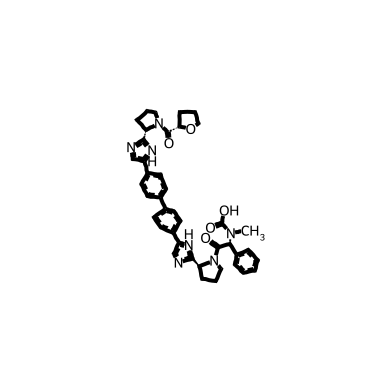 CN(C(=O)O)[C@@H](C(=O)N1CCC[C@H]1c1ncc(-c2ccc(-c3ccc(-c4cnc([C@@H]5CCCN5C(=O)[C@@H]5CCCO5)[nH]4)cc3)cc2)[nH]1)c1ccccc1